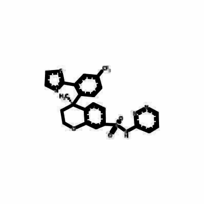 C[C@@]1(c2ccc(C(F)(F)F)cc2-c2nccs2)CCOc2cc(S(=O)(=O)Nc3cccnn3)ccc21